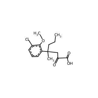 CCCC(C)(CC(=O)C(=O)O)c1cccc(Cl)c1OC